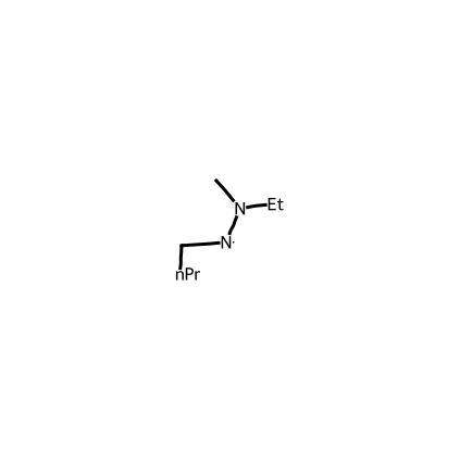 CCCC[N]N(C)CC